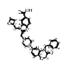 O=C(O)c1ccc2nc(CN3CCN(c4ccc5c(n4)N(Cc4ccccc4)C(=O)CO5)CC3)n(CC3CCO3)c2c1